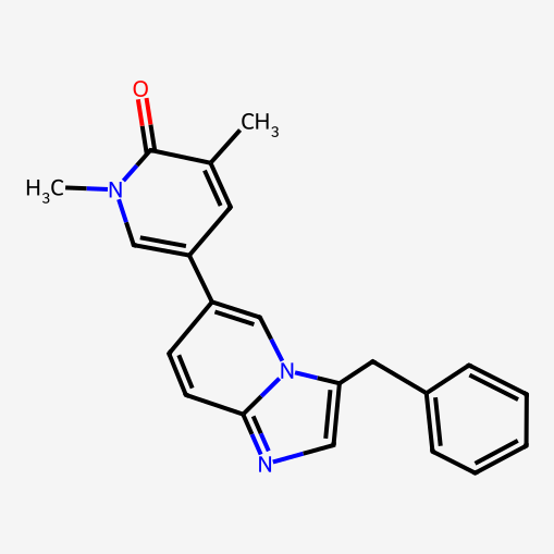 Cc1cc(-c2ccc3ncc(Cc4ccccc4)n3c2)cn(C)c1=O